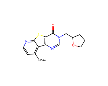 CNc1ccnc2sc3c(=O)n(CC4CCCO4)cnc3c12